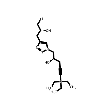 CC[Si](C#CC[C@@H](O)Cn1cc(C[C@@H](O)CCl)nn1)(CC)CC